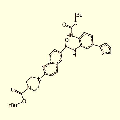 CC(C)(C)OC(=O)Nc1ccc(-c2cccs2)cc1NC(=O)c1ccc2nc(N3CCN(C(=O)OC(C)(C)C)CC3)ccc2c1